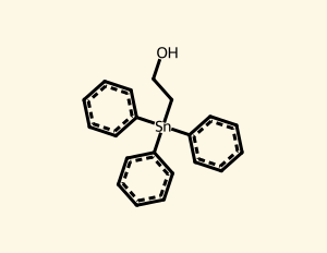 OC[CH2][Sn]([c]1ccccc1)([c]1ccccc1)[c]1ccccc1